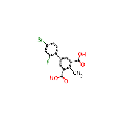 Cc1c(C(=O)O)cc(-c2ccc(Br)cc2F)cc1C(=O)O